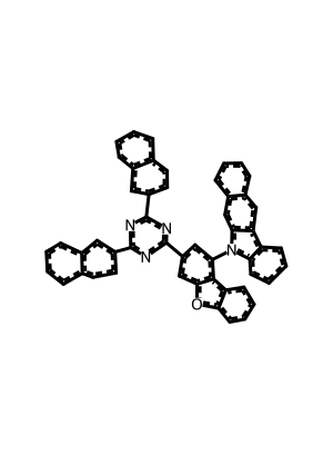 c1ccc2cc(-c3nc(-c4ccc5ccccc5c4)nc(-c4cc(-n5c6ccccc6c6cc7ccccc7cc65)c5c(c4)oc4ccccc45)n3)ccc2c1